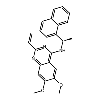 C=Cc1nc(N[C@H](C)c2cccc3ccccc23)c2cc(OC)c(OC)cc2n1